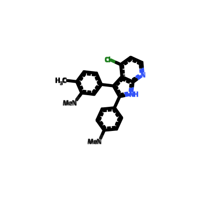 CNc1ccc(-c2[nH]c3nccc(Cl)c3c2-c2ccc(C)c(NC)c2)cc1